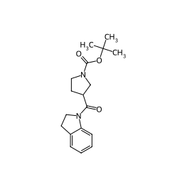 CC(C)(C)OC(=O)N1CCC(C(=O)N2CCc3ccccc32)C1